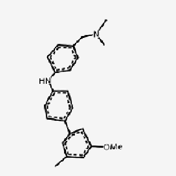 COc1cc(C)cc(-c2ccc(Nc3ccc(CN(C)C)cc3)cc2)c1